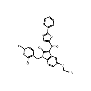 CCOc1ccc2c(c1)c(C(=O)c1cnc(-c3ccccn3)o1)c(Cl)n2Cc1ccc(Cl)cc1Cl